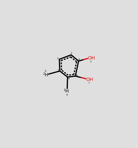 [2H]c1ccc(O)c(O)c1[2H]